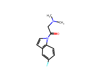 CN(C)CC(=O)n1ccc2cc(F)ccc21